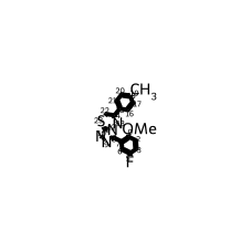 COc1ccc(F)cc1-c1nnc2n1N=C(c1ccc(C)cc1)CS2